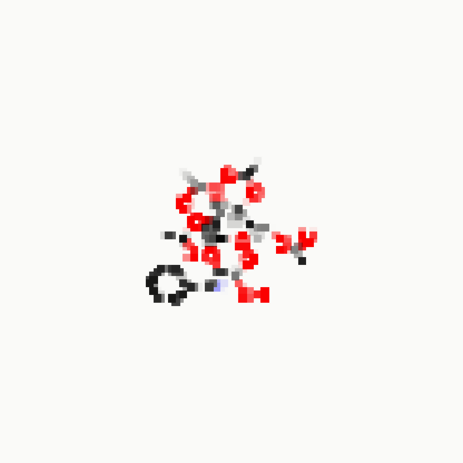 CC(=O)OC[C@@H]1O[C@H](O/C(=C\c2ccccc2)C(=O)O)[C@@H](OC(C)=O)[C@H](OC(C)=O)[C@@H]1OC(C)=O